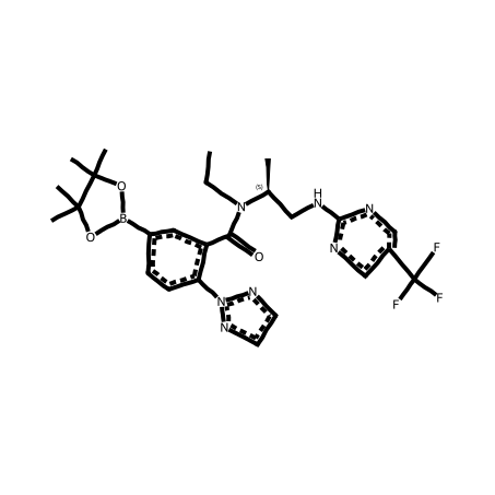 CCN(C(=O)c1cc(B2OC(C)(C)C(C)(C)O2)ccc1-n1nccn1)[C@@H](C)CNc1ncc(C(F)(F)F)cn1